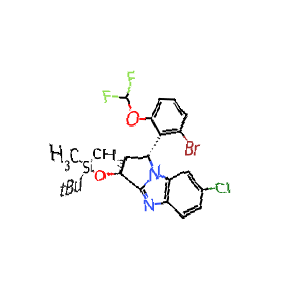 CC(C)(C)[Si](C)(C)O[C@H]1C[C@H](c2c(Br)cccc2OC(F)F)n2c1nc1ccc(Cl)cc12